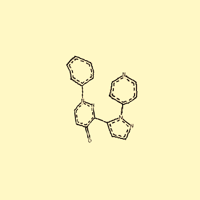 O=c1ccn(-c2ccccc2)nc1-c1ccnn1-c1ccncc1